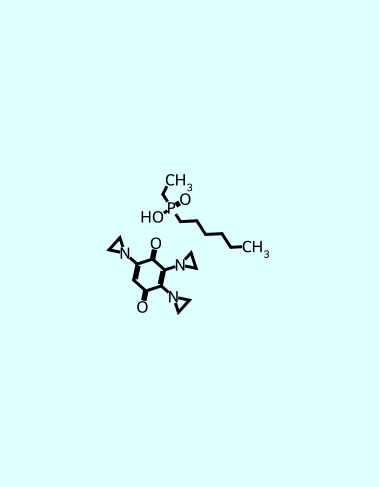 CCCCCCP(=O)(O)CC.O=C1C=C(N2CC2)C(=O)C(N2CC2)=C1N1CC1